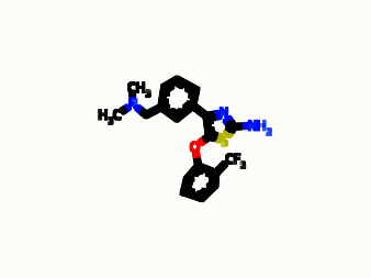 CN(C)Cc1cccc(-c2nc(N)sc2Oc2ccccc2C(F)(F)F)c1